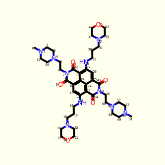 CN1CCN(CCN2C(=O)c3cc(NCCCN4CCOCC4)c4c5c(cc(NCCCN6CCOCC6)c(c35)C2=O)C(=O)N(CCN2CCN(C)CC2)C4=O)CC1